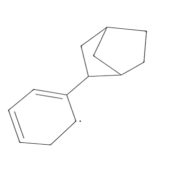 [CH]1CC=CC=C1C1CC2CCC1C2